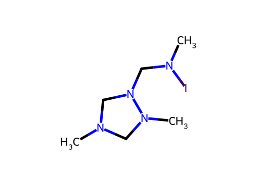 CN(I)CN1CN(C)CN1C